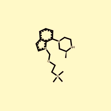 C[C@H]1CN(c2cccc3ccn(COCC[Si](C)(C)C)c23)CCN1